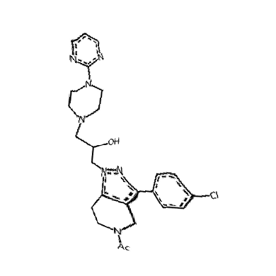 CC(=O)N1CCc2c(c(-c3ccc(Cl)cc3)nn2CC(O)CN2CCN(c3ncccn3)CC2)C1